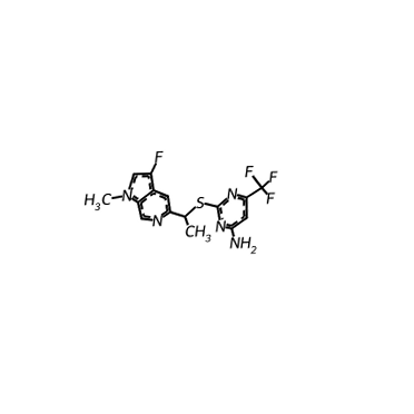 CC(Sc1nc(N)cc(C(F)(F)F)n1)c1cc2c(F)cn(C)c2cn1